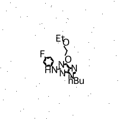 CCCCn1cnc2c(OCCCOCC)nc(Nc3ccc(F)cc3)nc21